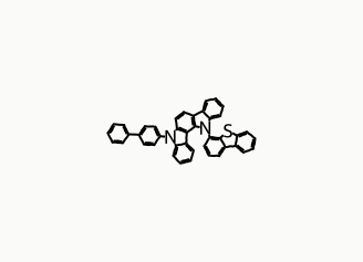 c1ccc(-c2ccc(-n3c4ccccc4c4c3ccc3c5ccccc5n(-c5cccc6c5sc5ccccc56)c34)cc2)cc1